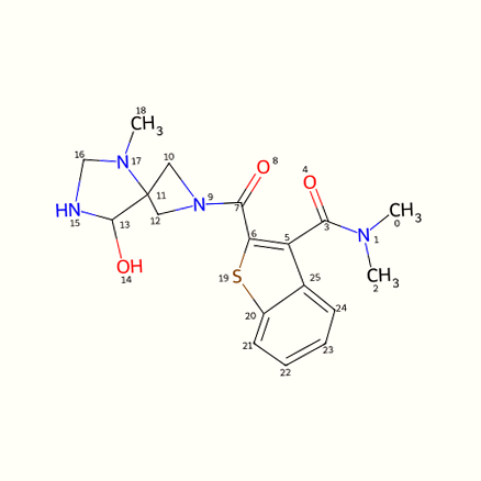 CN(C)C(=O)c1c(C(=O)N2CC3(C2)C(O)NCN3C)sc2ccccc12